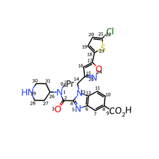 CC(C)N(C(=O)c1nc2cc(C(=O)O)ccc2n1Cc1cc(-c2ccc(Cl)s2)on1)C1CCNCC1